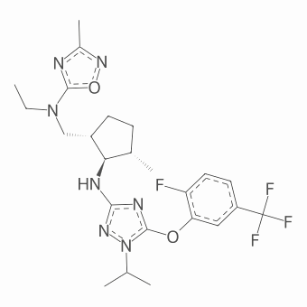 CCN(C[C@@H]1CC[C@H](C)[C@H]1Nc1nc(Oc2cc(C(F)(F)F)ccc2F)n(C(C)C)n1)c1nc(C)no1